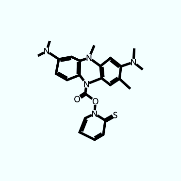 Cc1cc2c(cc1N(C)C)N(C)c1cc(N(C)C)ccc1N2C(=O)On1ccccc1=S